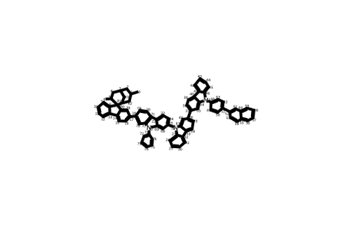 CC1CC2CC(C)C3(c4ccccc4-c4ccc(-c5ccc6c7ccc(-n8c9ccccc9c9ccc(-c%10ccc%11c%12ccccc%12n(-c%12ccc(-c%13ccc%14ccccc%14c%13)cc%12)c%11c%10)cc98)cc7n(-c7ccccc7)c6c5)cc43)C(C1)C2